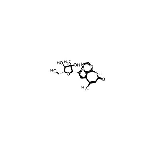 CC1=CC(=O)Nc2ncnn3c([C@@H]4O[C@H](CO)[C@@H](O)[C@@]4(C)O)cc1c23